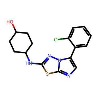 OC1CCC(Nc2nn3c(-c4ccccc4Cl)cnc3s2)CC1